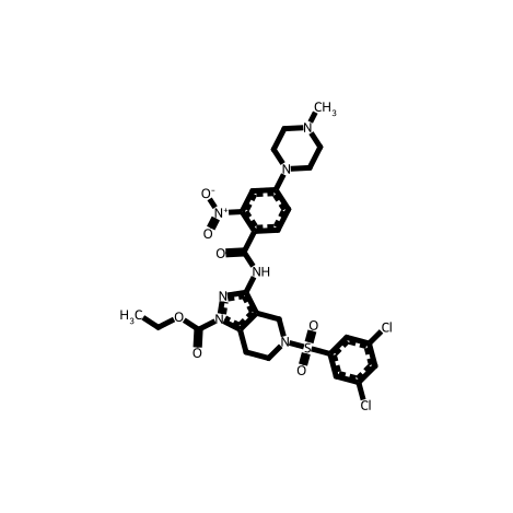 CCOC(=O)n1nc(NC(=O)c2ccc(N3CCN(C)CC3)cc2[N+](=O)[O-])c2c1CCN(S(=O)(=O)c1cc(Cl)cc(Cl)c1)C2